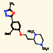 COc1cc(-c2nnc(C)o2)ccc1OCC[C@@H]1CN(C(=O)O)CCN1C(=O)O